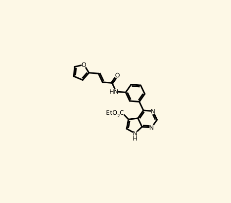 CCOC(=O)c1c[nH]c2ncnc(-c3cccc(NC(=O)/C=C/c4ccco4)c3)c12